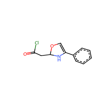 O=C(Cl)CC1NC(c2ccccc2)=CO1